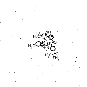 CN1CCc2nc(C(=O)N[C@@H]3C[C@@H](C(=O)N(C)C)CC[C@@H]3NC(=O)c3cccc(N(C=N)C(=O)OC(C)(C)C)c3)sc2C1